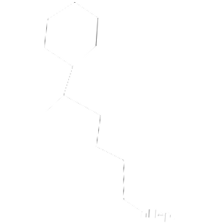 [CH2]C(CCCCCCCCCCC)C1CCCCC1